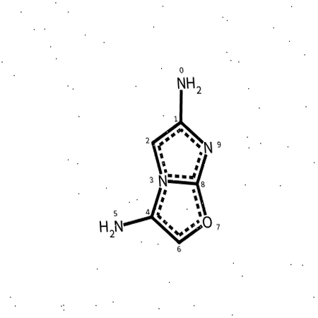 Nc1cn2c(N)coc2n1